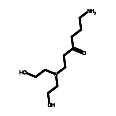 NCCCC(=O)CCN(CCO)CCO